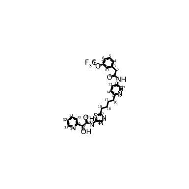 O=C(Cc1cccc(OC(F)(F)F)c1)Nc1ccc(CCCCc2nnc(NC(=O)C(O)c3ccccn3)s2)nn1